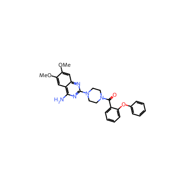 COc1cc2nc(N3CCN(C(=O)c4ccccc4Oc4ccccc4)CC3)nc(N)c2cc1OC